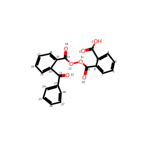 O=C(O)c1ccccc1C(=O)OOC(=O)c1ccccc1C(=O)c1ccccc1